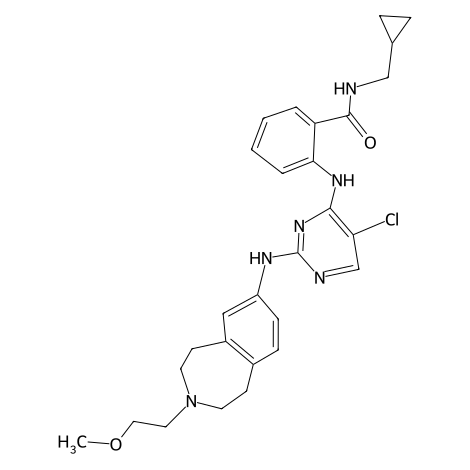 COCCN1CCc2ccc(Nc3ncc(Cl)c(Nc4ccccc4C(=O)NCC4CC4)n3)cc2CC1